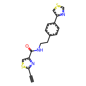 C#Cc1nc(C(=O)NCCc2ccc(-c3cscn3)cc2)cs1